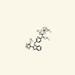 Cc1nonc1-c1nc2ccccc2n1Cc1ccc(N(C)C(=O)OC(C)(C)C)nc1